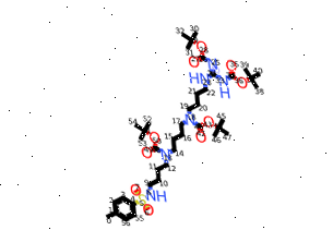 Cc1ccc(S(=O)(=O)NCCCCN(CCCCN(CCCCN/C(=N\C(=O)OC(C)(C)C)NC(=O)OC(C)(C)C)C(=O)OC(C)(C)C)C(=O)OC(C)(C)C)cc1